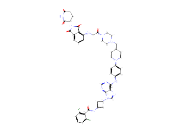 O=C1CC[C@H](N2C(=O)c3cccc(NCC(=O)N4CCN(CC5CCN(c6ccc(Nc7ncnc8c7ncn8C7CC(NC(=O)c8c(Cl)cccc8Cl)C7)cc6)CC5)CC4)c3C2=O)C(=O)N1